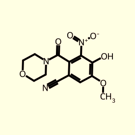 COc1cc(C#N)c(C(=O)N2CCOCC2)c([N+](=O)[O-])c1O